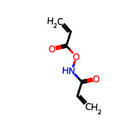 C=CC(=O)NOC(=O)C=C